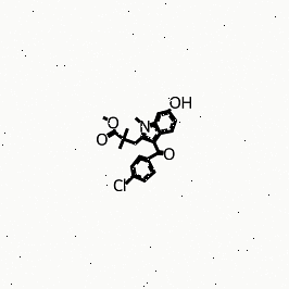 COC(=O)C(C)(C)Cc1c(C(=O)c2ccc(Cl)cc2)c2ccc(O)cc2n1C